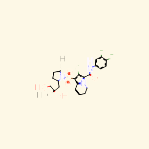 CC1CCC(CC(C)(O)CO)N1S(=O)(=O)c1c(Cl)c(C(=O)Nc2ccc(F)c(F)c2)n2c1C=CCC2